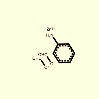 Nc1ccccc1.O=C[O-].O=C[O-].[Zn+2]